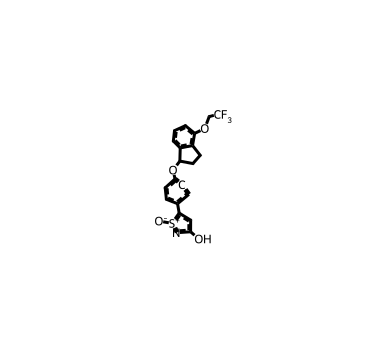 [O-][s+]1nc(O)cc1-c1ccc(OC2CCc3c(OCC(F)(F)F)cccc32)cc1